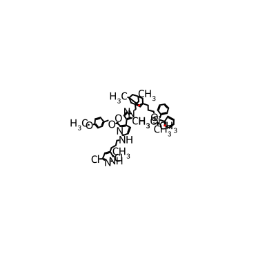 COc1ccc(COC(=O)c2nc(NCCCC3=CC(Cl)=NNC3(C)Cl)ccc2-c2cnn(CC34CC5(C)CC(C)(CC(CCCO[Si](c6ccccc6)(c6ccccc6)C(C)(C)C)(C5)C3)C4)c2C)cc1